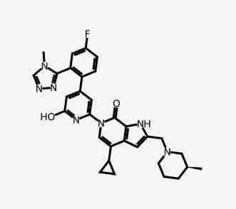 C[C@H]1CCCN(Cc2cc3c(C4CC4)cn(-c4cc(-c5ccc(F)cc5-c5nncn5C)cc(O)n4)c(=O)c3[nH]2)C1